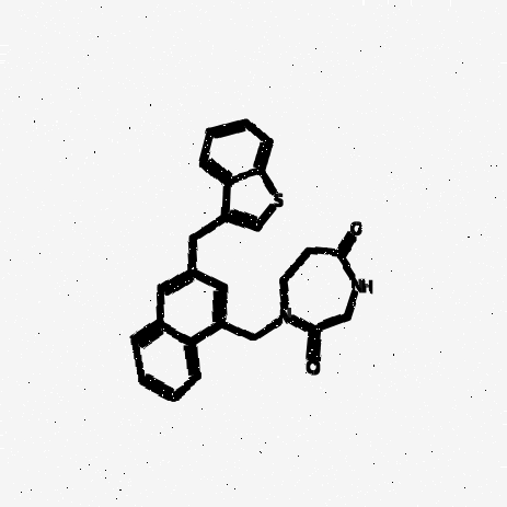 O=C1CCN(Cc2cc(Cc3csc4ccccc34)cc3ccccc23)C(=O)CN1